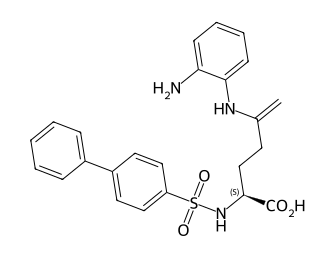 C=C(CC[C@H](NS(=O)(=O)c1ccc(-c2ccccc2)cc1)C(=O)O)Nc1ccccc1N